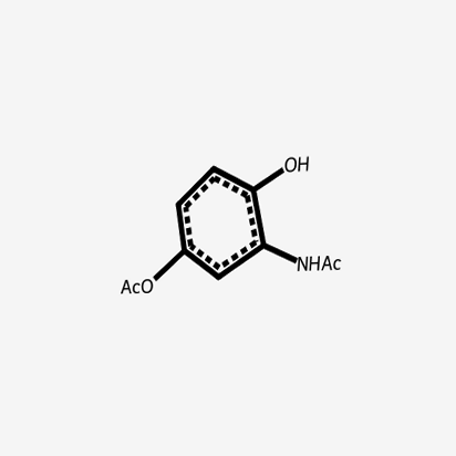 CC(=O)Nc1cc(OC(C)=O)ccc1O